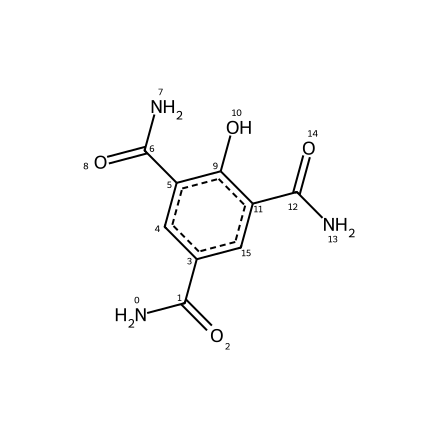 NC(=O)c1cc(C(N)=O)c(O)c(C(N)=O)c1